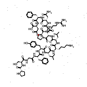 CC(C)C[C@H](NC(=O)[C@H](Cc1ccc(O)cc1)NC(=O)[C@H](Cc1ccccc1)NC(=O)CNC(=O)[C@H](CO)NC(=O)[C@@H]1CCCN1)C(=O)N[C@@H](CCCCN)C(=O)N[C@@H](CC(C)C)C(=O)N[C@@H](CC(=O)O)C(=O)N1CCC[C@H]1C(=O)N[C@@H](CCCNC(=N)N)C(=O)N[C@@H](CC(N)=O)C(=O)N[C@@H](Cc1ccccc1)C(=O)N[C@@H](CC(N)=O)C(=O)O